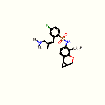 CCN(CC)C/C(C)=C\c1cc(F)ccc1S(=O)(=O)Nc1ccc2c(c1C(=O)O)OCC1CC21